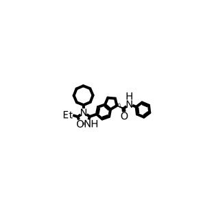 CCC1ONC(c2ccc3c(c2)CC[C@H]3C(=O)Nc2ccccc2)N1C1CCCCCCC1